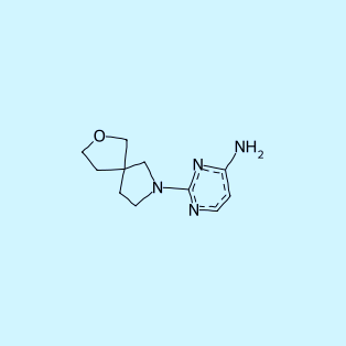 Nc1ccnc(N2CCC3(CCOC3)C2)n1